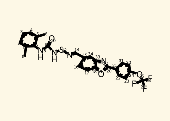 Cc1cccc(C)c1NC(=O)NS/N=C/c1ccc2oc(-c3ccc(OC(F)(F)F)cc3)nc2c1